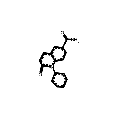 NC(=O)c1ccc2c(ccc(=O)n2-c2ccccc2)c1